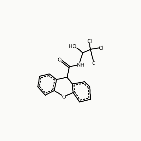 O=C(NC(O)C(Cl)(Cl)Cl)C1c2ccccc2Oc2ccccc21